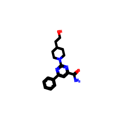 NC(=O)c1cc(-c2ccccc2)nc(N2CCC(CCO)CC2)n1